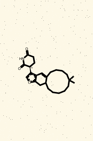 CC1(C)CCCCCC2Cc3occ([C@@H]4CCC(=O)NC4=O)c3C=C2CCCC1